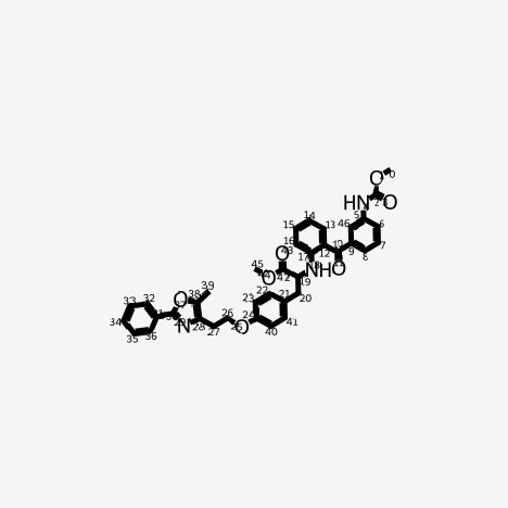 COC(=O)Nc1cccc(C(=O)c2ccccc2NC(Cc2ccc(OCCc3nc(-c4ccccc4)oc3C)cc2)C(=O)OC)c1